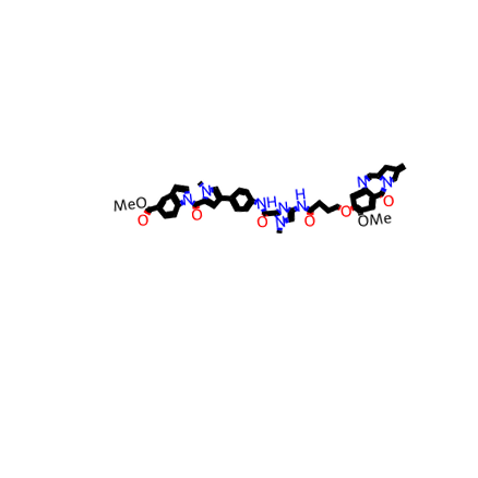 C=C1CC2C=Nc3cc(OCCCC(=O)Nc4cn(C)c(C(=O)Nc5ccc(-c6cc(C(=O)n7ccc8cc(C(=O)OC)ccc87)n(C)c6)cc5)n4)c(OC)cc3C(=O)N2C1